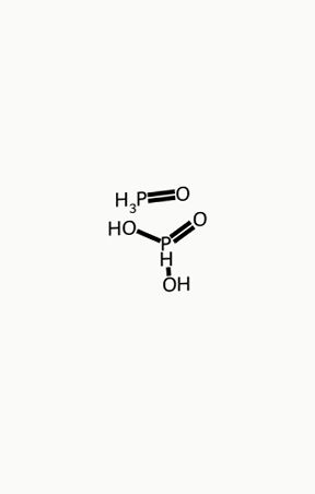 O=[PH3].O=[PH](O)O